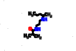 C=C(CCC)NCCCNC(=O)C(=C)C